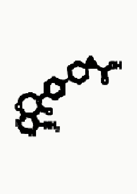 Nc1ncnc2c1C(=O)N(c1ccc([C@H]3CC[C@@]4(CC3)C[C@H]4C(=O)O)cc1)CCO2